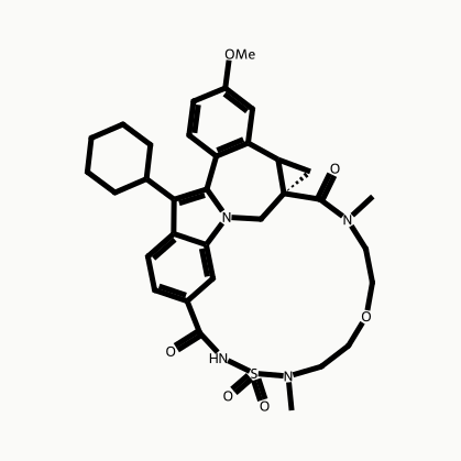 COc1ccc2c(c1)C1C[C@]13Cn1c-2c(C2CCCCC2)c2ccc(cc21)C(=O)NS(=O)(=O)N(C)CCOCCN(C)C3=O